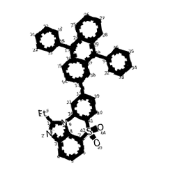 CCc1nc2cccc3c2n1-c1cc(-c2ccc4c(-c5ccccc5)c5ccccc5c(-c5ccccc5)c4c2)ccc1S3(=O)=O